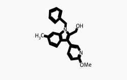 COc1ccc(-c2c(CO)n(Cc3ccccc3)c3cc(C)ccc23)cn1